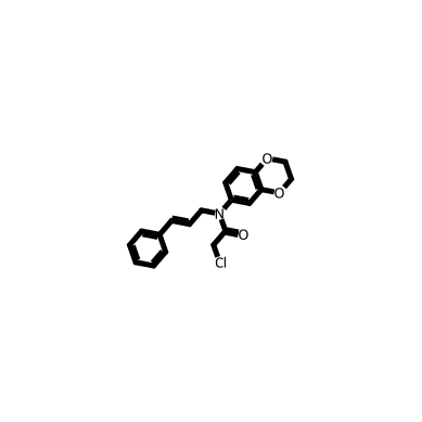 O=C(CCl)N(CC=Cc1ccccc1)c1ccc2c(c1)OCCO2